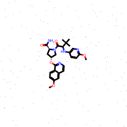 COc1ccc2c(O[C@@H]3C[C@@H](C(N)=O)N(C(=O)C(Nc4ccc(OC)nc4)C(C)(C)C)C3)nccc2c1